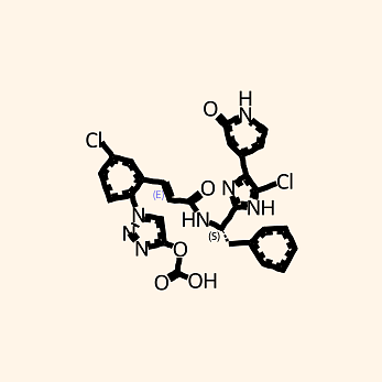 O=C(/C=C/c1cc(Cl)ccc1-n1cc(OC(=O)O)nn1)N[C@@H](Cc1ccccc1)c1nc(-c2cc[nH]c(=O)c2)c(Cl)[nH]1